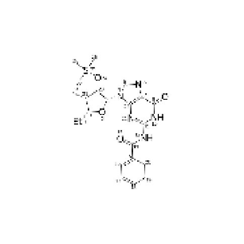 CC[C@H]1O[C@@H](n2cnc3c(=O)[nH]c(NC(=O)c4ccccc4)nc32)C(O[Si](C)(C)C)[C@H]1C